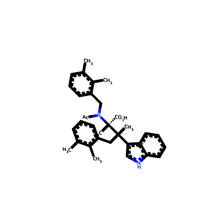 CC(=O)N(Cc1cccc(C)c1C)[C@@](C)(C(=O)O)C(C)(Cc1cccc(C)c1C)c1c[nH]c2ccccc12